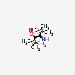 C[Si](C)(C)C(=N)C(O)[Si](C)(C)C